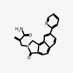 C=C(CN1Cc2c(ccc3ccc(-c4ccccn4)cc23)C1=O)C(N)=O